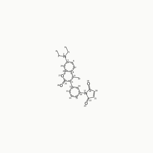 CCN(CC)c1ccc2c(C)c(-c3cccc(N4C(=O)C=CC4=O)c3)c(=O)oc2c1